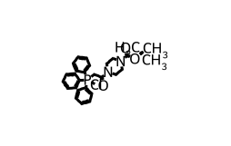 CC(C)(C)OC(=O)N1CCN(C(=O)CP(Cl)(c2ccccc2)(c2ccccc2)c2ccccc2)CC1